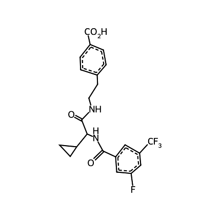 O=C(O)c1ccc(CCNC(=O)C(NC(=O)c2cc(F)cc(C(F)(F)F)c2)C2CC2)cc1